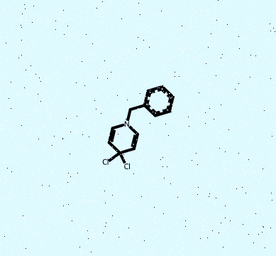 ClC1(Cl)C=CN(Cc2ccccc2)C=C1